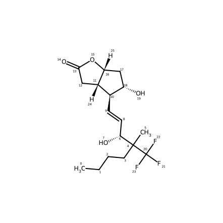 CCCCC(C)([C@H](O)/C=C/[C@H]1[C@@H]2CC(=O)O[C@@H]2C[C@@H]1O)C(F)(F)F